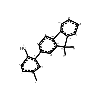 Cc1ccc(O)c(-c2ccc3c(c2)C(C)(C)c2ccccc2-3)c1